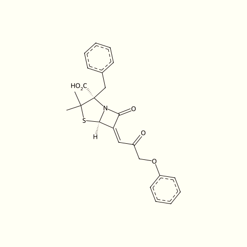 CC1(C)S[C@@H]2/C(=C/C(=O)COc3ccccc3)C(=O)N2[C@@]1(Cc1ccccc1)C(=O)O